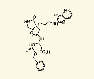 O=C(O)CC(NC(=O)C[N+]1(CCCNc2nc3cccnc3[nH]2)C(=O)CNC1=O)NC(=O)OCc1ccccc1